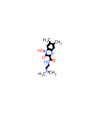 Cc1cc2nc(C(=O)NCCN(C)C)c(=O)n(O)c2cc1C